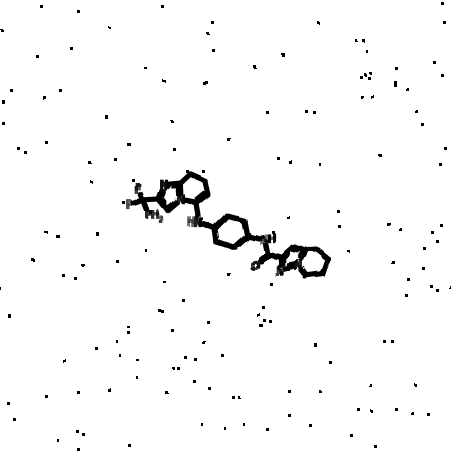 O=C(NC1CCC(NC2=CCCc3nc(C(F)(F)P)cn32)CC1)c1cc2n(n1)CCCC2